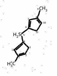 CC1=CCC([SiH2]C2=CC(C)=CC2)=C1